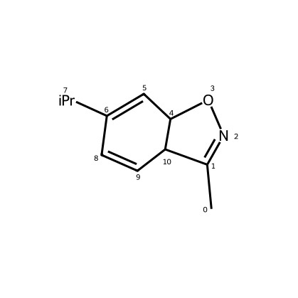 CC1=NOC2C=C(C(C)C)C=CC12